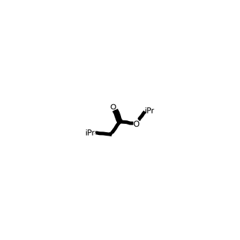 [CH2]C([CH2])OC(=O)CC(C)C